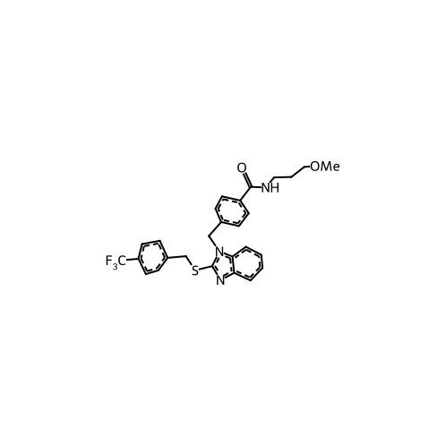 COCCCNC(=O)c1ccc(Cn2c(SCc3ccc(C(F)(F)F)cc3)nc3ccccc32)cc1